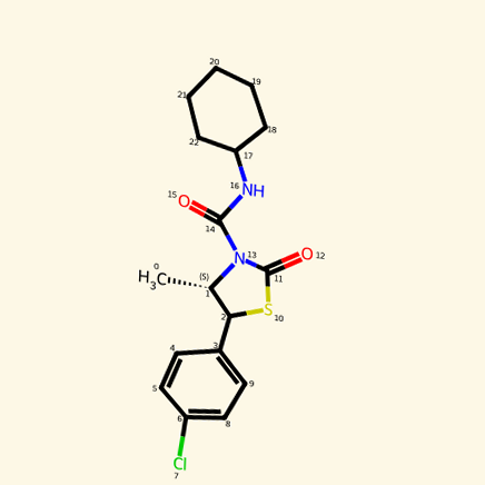 C[C@H]1C(c2ccc(Cl)cc2)SC(=O)N1C(=O)NC1CCCCC1